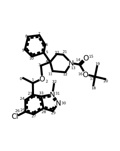 CC(OCC1(c2ccccc2)CCN(C(=O)OC(C)(C)C)CC1)c1cc(Cl)cc2cnn(C)c12